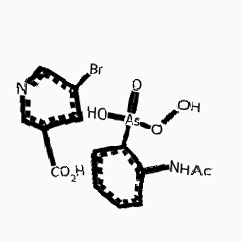 CC(=O)Nc1ccccc1[As](=O)(O)OO.O=C(O)c1cncc(Br)c1